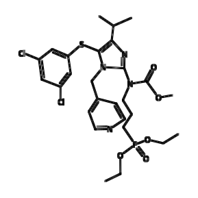 CCOP(=O)(CCCN(C(=O)OC)c1nc(C(C)C)c(Sc2cc(Cl)cc(Cl)c2)n1Cc1ccncc1)OCC